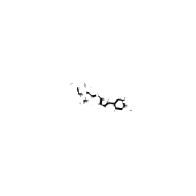 COc1ccc(-c2ccc(/C=C3\SC(=S)N(CC(=O)O)C3=O)o2)cc1Cl